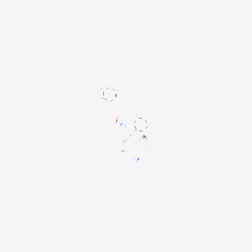 Cl.O=C(NCC1(c2ccccc2F)[C@@H]2CCNCC[C@@H]21)OCc1ccccc1